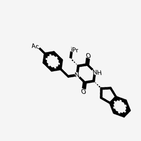 CC(=O)c1ccc(CN2C(=O)[C@@H](C3Cc4ccccc4C3)NC(=O)[C@H]2CC(C)C)cc1